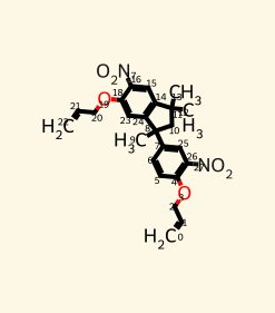 C=CCOc1ccc(C2(C)CC(C)(C)c3cc([N+](=O)[O-])c(OCC=C)cc32)cc1[N+](=O)[O-]